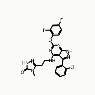 Cn1c(CCNc2nc(Oc3ccc(F)cc3F)nc3[nH]nc(-c4ccccc4Cl)c23)n[nH]c1=O